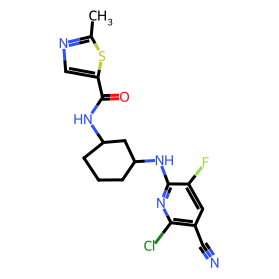 Cc1ncc(C(=O)NC2CCCC(Nc3nc(Cl)c(C#N)cc3F)C2)s1